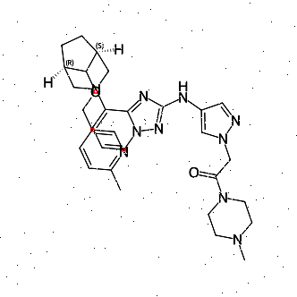 Cc1ccc(COC2[C@@H]3CC[C@H]2CN(c2cccn4nc(Nc5cnn(CC(=O)N6CCN(C)CC6)c5)nc24)C3)cn1